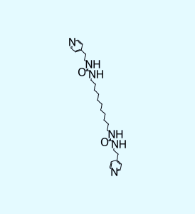 O=C(NCCCCCCCCCCCNC(=O)NCCc1ccncc1)NCCc1ccncc1